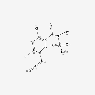 CNS(=O)(=O)N(C(=O)c1cc(N=C=O)c(F)cc1Cl)C(C)C